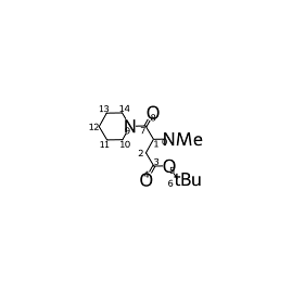 CNC(CC(=O)OC(C)(C)C)C(=O)N1CCCCC1